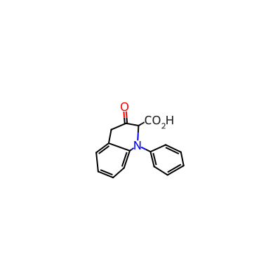 O=C(O)C1C(=O)Cc2ccccc2N1c1ccccc1